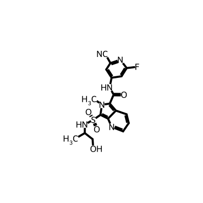 CC(CO)NS(=O)(=O)c1c2ncccc2c(C(=O)Nc2cc(F)nc(C#N)c2)n1C